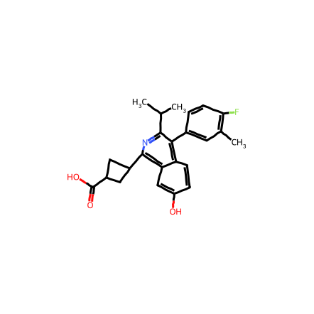 Cc1cc(-c2c(C(C)C)nc(C3CC(C(=O)O)C3)c3cc(O)ccc23)ccc1F